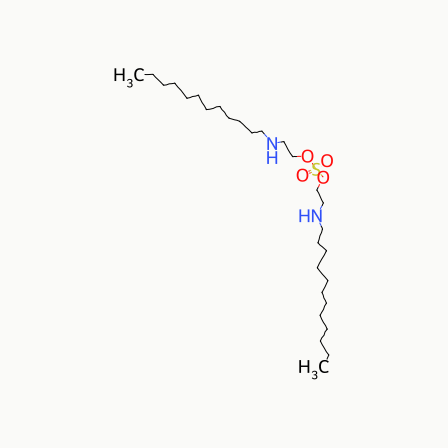 CCCCCCCCCCCCNCCOS(=O)(=O)OCCNCCCCCCCCCCCC